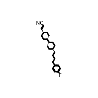 N#CC=C[C@H]1CC[C@H]([C@H]2CC[C@H](CCCCc3ccc(F)cc3)CC2)CC1